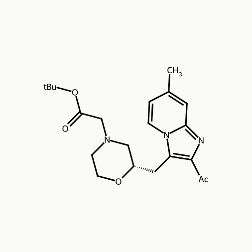 CC(=O)c1nc2cc(C)ccn2c1C[C@H]1CN(CC(=O)OC(C)(C)C)CCO1